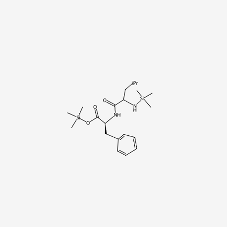 CC(C)CC(N[Si](C)(C)C)C(=O)N[C@@H](Cc1ccccc1)C(=O)O[Si](C)(C)C